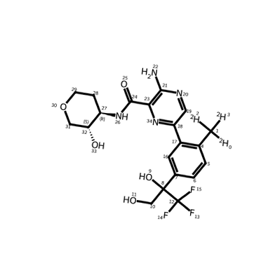 [2H]C([2H])([2H])c1ccc(C(O)(CO)C(F)(F)F)cc1-c1cnc(N)c(C(=O)N[C@@H]2CCOC[C@H]2O)n1